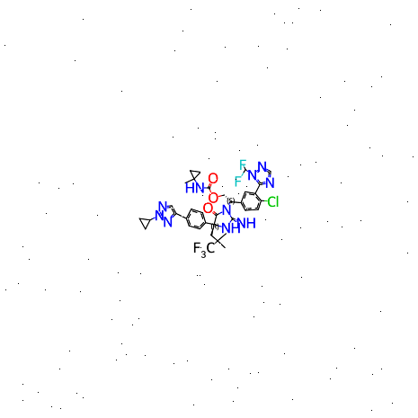 CC1(NC(=O)OC[C@H](c2ccc(Cl)c(-c3ncnn3C(F)F)c2)N2C(=N)N[C@](CC(C)(C)C(F)(F)F)(c3ccc(-c4cnn(C5CC5)n4)cc3)C2=O)CC1